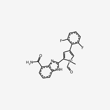 C[N+]1(C=O)C=C(c2c(F)cccc2F)C=C1c1nc2c(C(N)=O)cccc2[nH]1